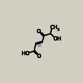 CC(O)C(=O)/C=C/C(=O)O